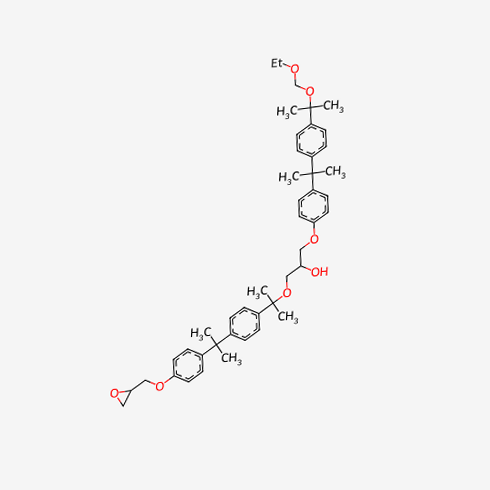 CCOCOC(C)(C)c1ccc(C(C)(C)c2ccc(OCC(O)COC(C)(C)c3ccc(C(C)(C)c4ccc(OCC5CO5)cc4)cc3)cc2)cc1